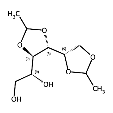 CC1O[C@H]([C@H](O)CO)[C@@H]([C@@H]2COC(C)O2)O1